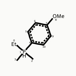 CC[PH](C)(C)c1ccc(OC)cc1